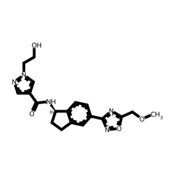 COCc1nc(-c2ccc3c(c2)CC[C@H]3NC(=O)c2cnn(CCO)c2)no1